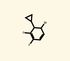 FC1=C(F)C(C2CC2)C(Br)C=C1